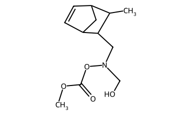 COC(=O)ON(CO)CC1C2C=CC(C2)C1C